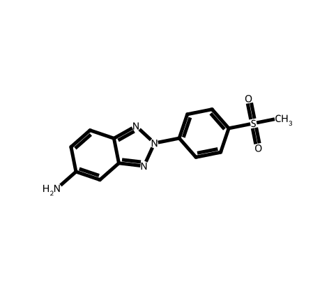 CS(=O)(=O)c1ccc(-n2nc3ccc(N)cc3n2)cc1